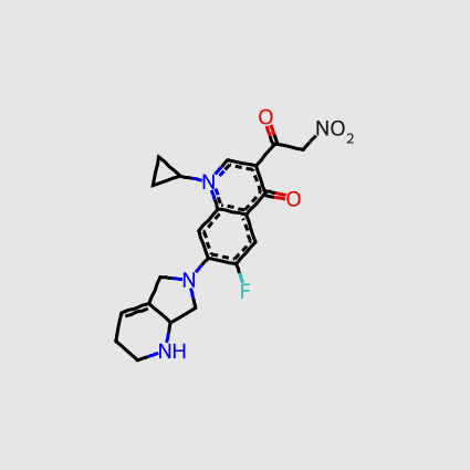 O=C(C[N+](=O)[O-])c1cn(C2CC2)c2cc(N3CC4=CCCNC4C3)c(F)cc2c1=O